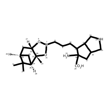 CC1(C)[C@H]2C[C@@H]3OB(CCCC4C5CNCC5CC4(N)C(=O)O)O[C@]3(C)[C@@H]1C2